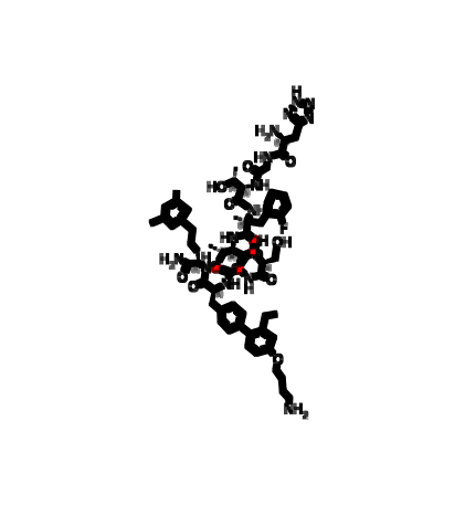 CCc1cc(OCCCCN)ccc1-c1ccc(C[C@H](NC(=O)[C@H](CC(=O)O)NC(=O)[C@H](CO)NC(=O)[C@H](NC(=O)[C@](C)(Cc2ccccc2F)NC(=O)[C@@H](NC(=O)CNC(=O)[C@@H](N)Cc2nn[nH]n2)[C@@H](C)O)[C@@H](C)O)C(=O)N[C@@H](CCCc2cc(C)cc(C)c2)C(N)=O)cc1